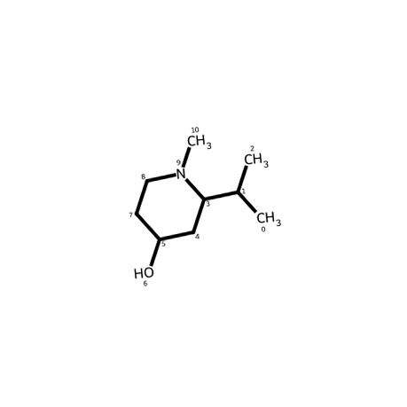 CC(C)C1CC(O)CCN1C